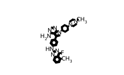 Cc1cccc2nc(Nc3ccc(-c4cn([C@H]5CC[C@H](N6CCN(C)CC6)CC5)c5ncnc(N)c45)cc3)nc(F)c12